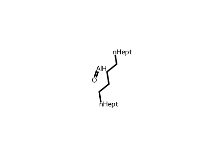 [CH2]CCCCCCCCCCCCCCCCC.[O]=[AlH]